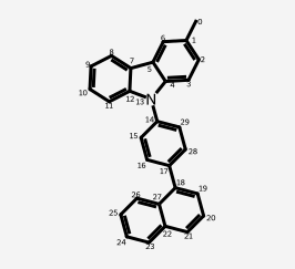 Cc1ccc2c(c1)c1ccccc1n2-c1ccc(-c2cccc3ccccc23)cc1